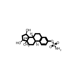 C[C@]12CC[C@@H]3c4ccc(OS(N)(=O)=O)cc4CC[C@H]3[C@@]1(F)[C@H](O)C[C@@H]2O